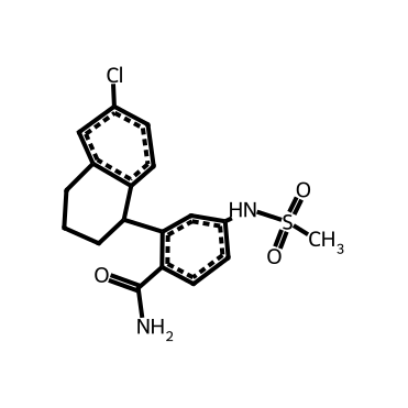 CS(=O)(=O)Nc1ccc(C(N)=O)c(C2CCCc3cc(Cl)ccc32)c1